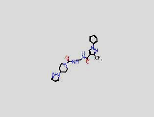 O=C(NCCNC(=O)N1CCC(n2cccn2)CC1)c1cn(-c2ccccc2)nc1C(F)(F)F